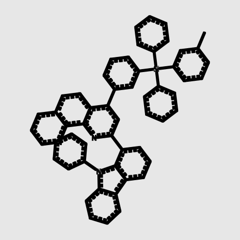 Cc1cccc([Si](c2ccccc2)(c2ccccc2)c2cccc(-c3cc(-c4cccc5c6ccccc6n(-c6ccccc6)c45)nc4c3ccc3cccnc34)c2)c1